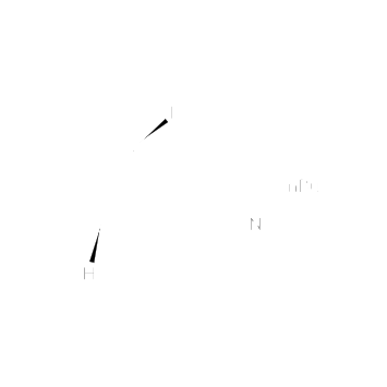 CCCC[N+](C)(C)CC1C[C@@H]2C=C[C@H]1C2